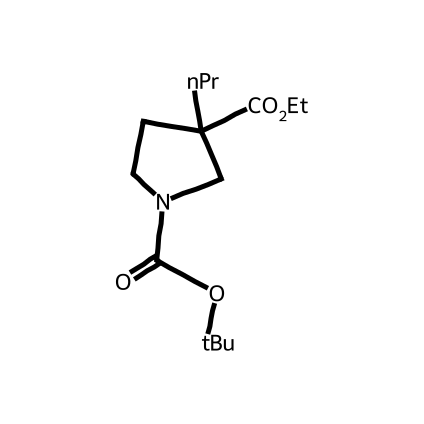 CCCC1(C(=O)OCC)CCN(C(=O)OC(C)(C)C)C1